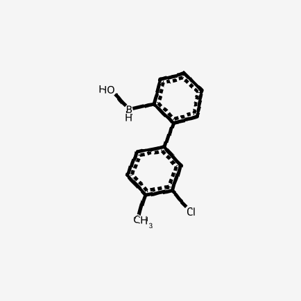 Cc1ccc(-c2ccccc2BO)cc1Cl